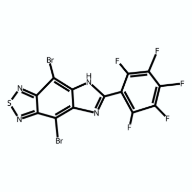 Fc1c(F)c(F)c(-c2nc3c(Br)c4nsnc4c(Br)c3[nH]2)c(F)c1F